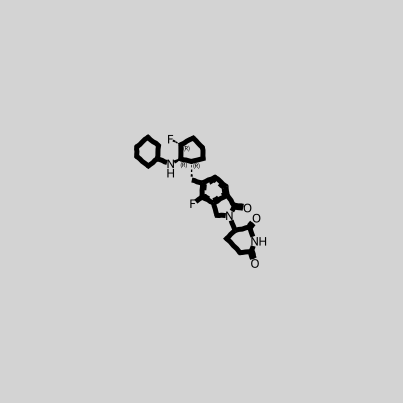 O=C1CCC(N2Cc3c(ccc(C[C@H]4CCC[C@@H](F)[C@@H]4NC4CCCCC4)c3F)C2=O)C(=O)N1